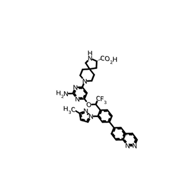 Cc1ccn(-c2cc(-c3ccc4nnccc4c3)ccc2C(Oc2cc(N3CCC4(CC3)CN[C@H](C(=O)O)C4)nc(N)n2)C(F)(F)F)n1